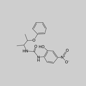 CC(NC(=O)Nc1ccc([N+](=O)[O-])cc1O)C(C)Oc1ccccc1